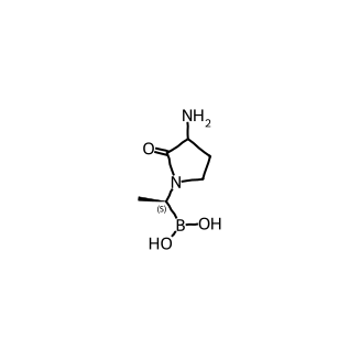 C[C@H](B(O)O)N1CCC(N)C1=O